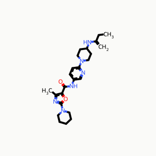 C=C(CC)NC1CCN(c2ccc(NC(=O)c3oc(N4CCCCC4)nc3C)cn2)CC1